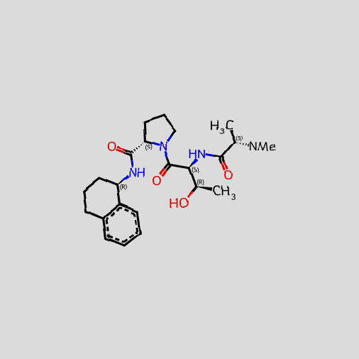 CN[C@@H](C)C(=O)N[C@H](C(=O)N1CCC[C@H]1C(=O)N[C@@H]1CCCc2ccccc21)[C@@H](C)O